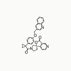 O=C1O[C@]2(CCN(C(=O)C3(c4ccc(OCc5cnc6ccccc6c5)cc4)CC3)C2)c2ccncc21